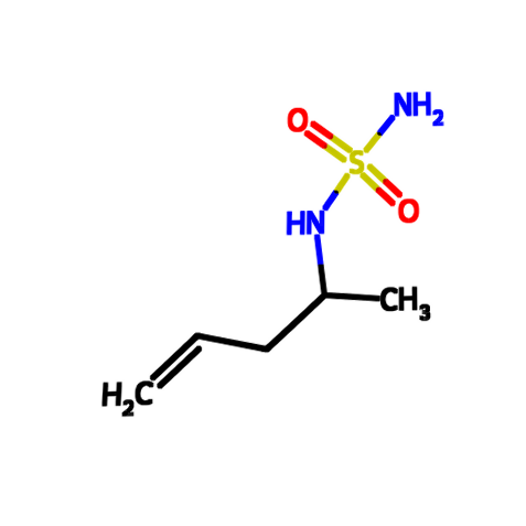 C=CCC(C)NS(N)(=O)=O